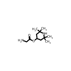 CC1(C)CC(OC(=O)CN)CC(C)(C)N1